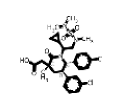 CN(C)S(=O)(=O)N(C)CC(C1CC1)N1C(=O)[C@@](C)(CC(=O)O)C[C@H](c2cccc(Cl)c2)[C@H]1c1ccc(Cl)cc1